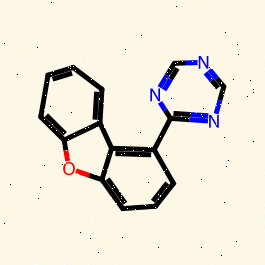 c1ccc2c(c1)oc1cccc(-c3ncncn3)c12